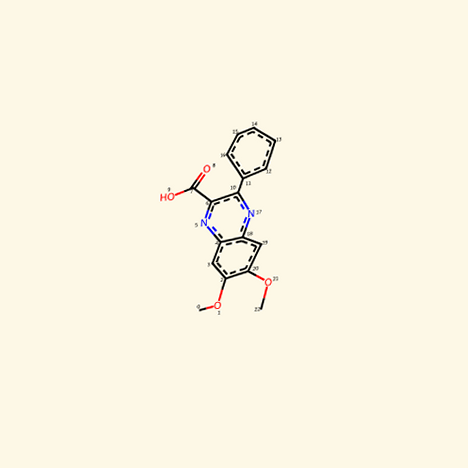 COc1cc2nc(C(=O)O)c(-c3ccccc3)nc2cc1OC